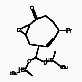 CC(C)C1C=CC(C(O[SiH](C)C(C)(C)C)O[SiH](C)C(C)(C)C)CC2OC2C(=O)CC1